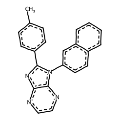 Cc1ccc(-c2nc3nccnc3n2-c2ccc3ccccc3c2)cc1